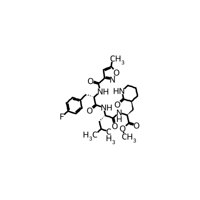 COC(=O)[C@H](C[C@@H]1CCCNC1=O)NC(=O)[C@H](CC(C)C)NC(=O)[C@H](Cc1ccc(F)cc1)NC(=O)c1cc(C)on1